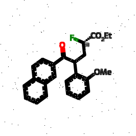 CCOC(=O)[C@@H](F)CC(C(=O)c1ccc2ccccc2c1)c1ccccc1OC